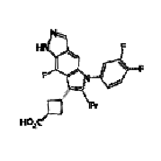 CC(C)c1c([C@H]2C[C@H](C(=O)O)C2)c2c(F)c3[nH]ncc3cc2n1-c1ccc(F)c(F)c1